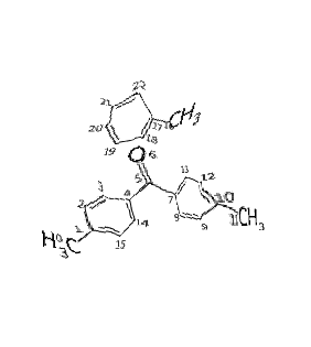 Cc1ccc(C(=O)c2ccc(C)cc2)cc1.Cc1ccccc1